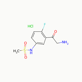 CS(=O)(=O)Nc1ccc(F)c(C(=O)CN)c1.Cl